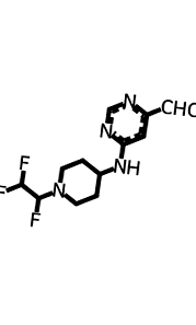 O=Cc1cc(NC2CCN(C(F)C(F)F)CC2)ncn1